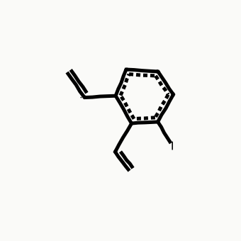 C=[C]c1cccc(I)c1C=C